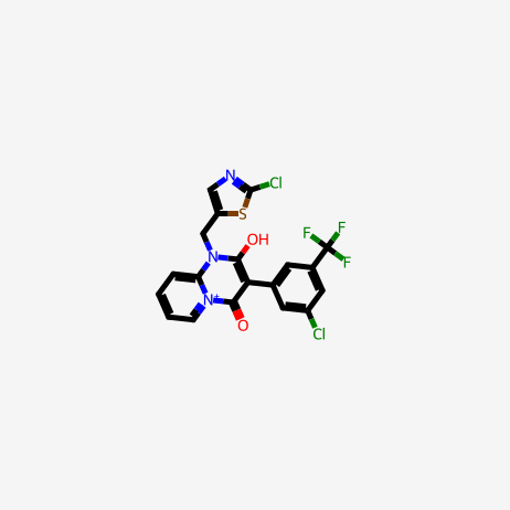 O=c1c(-c2cc(Cl)cc(C(F)(F)F)c2)c(O)n(Cc2cnc(Cl)s2)c2cccc[n+]12